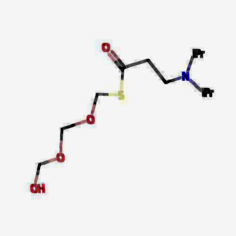 CC(C)N(CCC(=O)SCOCOCO)C(C)C